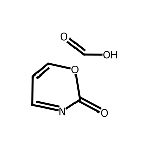 O=CO.O=c1nccco1